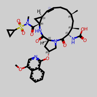 COc1cnc(O[C@@H]2C[C@H]3C(=O)N[C@]4(C(=O)N(C)S(=O)(=O)C5CC5)C[C@H]4/C=C\CC[C@@H](C)C[C@@H](C)[C@H](NC(=O)O)C(=O)N3C2)c2ccccc12